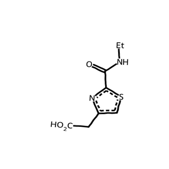 CCNC(=O)c1nc(CC(=O)O)cs1